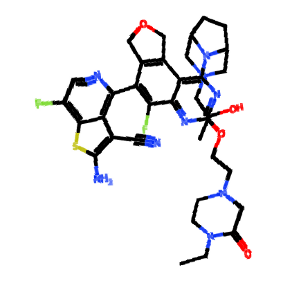 CCN1CCN(CCOc2nc(N3C4CCC3CN(CC(C)O)C4)c3c4c(c(-c5ncc(F)c6sc(N)c(C#N)c56)c(F)c3n2)COC4)CC1=O